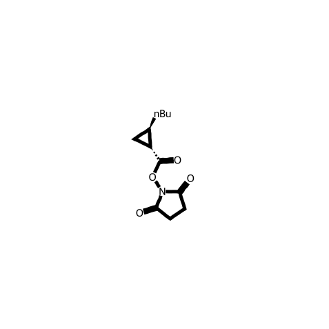 CCCC[C@@H]1C[C@H]1C(=O)ON1C(=O)CCC1=O